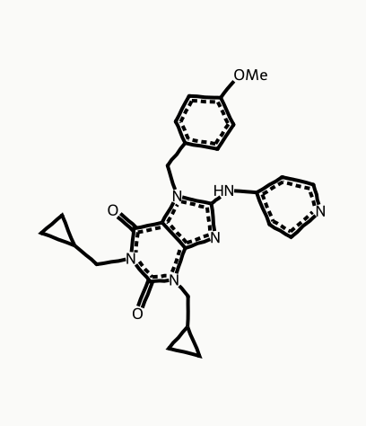 COc1ccc(Cn2c(Nc3ccncc3)nc3c2c(=O)n(CC2CC2)c(=O)n3CC2CC2)cc1